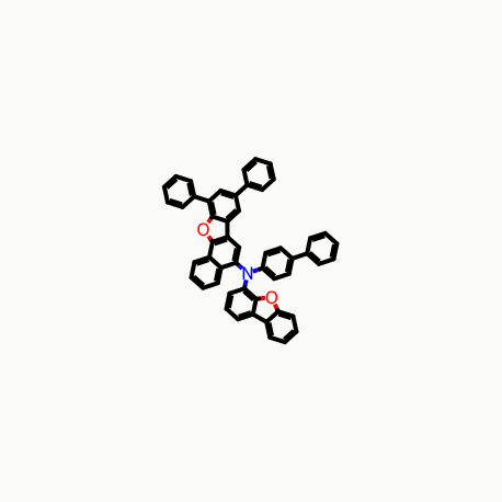 c1ccc(-c2ccc(N(c3cc4c5cc(-c6ccccc6)cc(-c6ccccc6)c5oc4c4ccccc34)c3cccc4c3oc3ccccc34)cc2)cc1